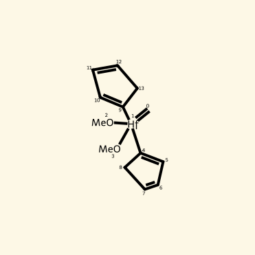 [CH2]=[Hf]([O]C)([O]C)([C]1=CC=CC1)[C]1=CC=CC1